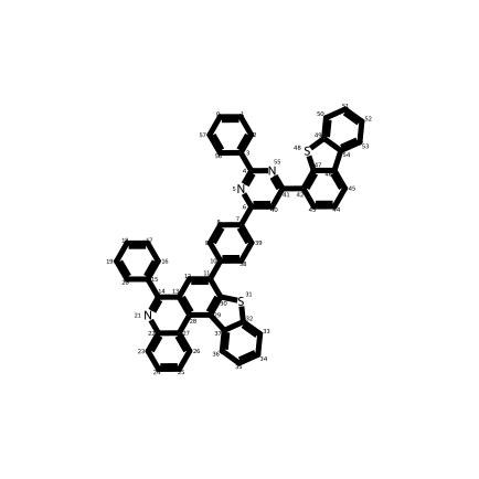 c1ccc(-c2nc(-c3ccc(-c4cc5c(-c6ccccc6)nc6ccccc6c5c5c4sc4ccccc45)cc3)cc(-c3cccc4c3sc3ccccc34)n2)cc1